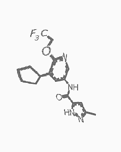 Cc1cc(C(=O)Nc2cnc(OCC(F)(F)F)c(C3CCCC3)c2)[nH]n1